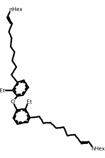 CCCCCCC=CCCCCCCCc1cccc(Oc2cccc(CCCCCCCC=CCCCCCC)c2CC)c1CC